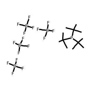 CC(C)(C)P(C(C)(C)C)C(C)(C)C.F[B-](F)(F)F.F[B-](F)(F)F.F[B-](F)(F)F.F[B-](F)(F)F